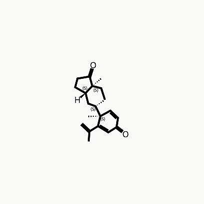 C=C(C)C1=CC(=O)C=C[C@]1(C)[C@H]1CC[C@]2(C)C(=O)CC[C@H]2C1